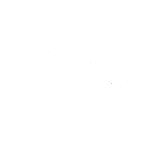 Cc1cccc(C(=O)NC(CS(=O)(=O)Cc2ccccc2OC(F)F)C(=O)N(C)C#N)c1